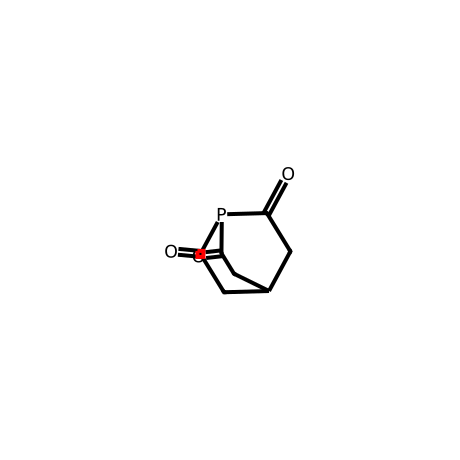 O=C1CC2CC(=O)P1C(=O)C2